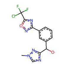 Cn1cnc(C([O])c2cccc(-c3noc(C(F)(F)Cl)n3)c2)n1